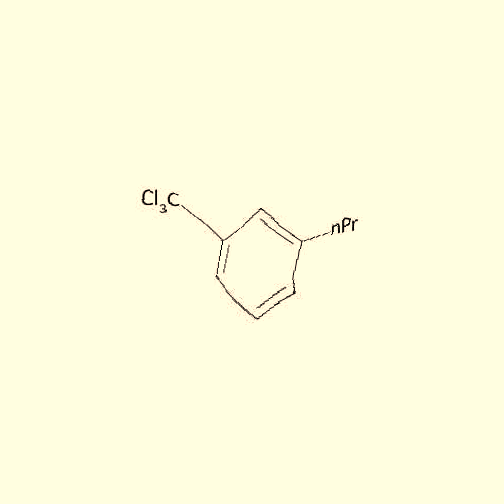 [CH2]CCc1cccc(C(Cl)(Cl)Cl)c1